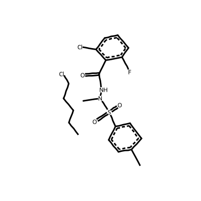 CCCCCCl.Cc1ccc(S(=O)(=O)N(C)NC(=O)c2c(F)cccc2Cl)cc1